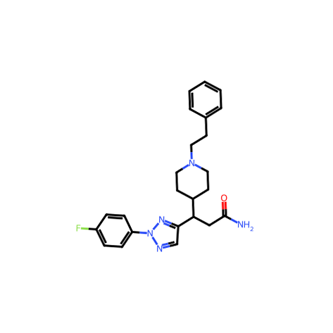 NC(=O)CC(c1cnn(-c2ccc(F)cc2)n1)C1CCN(CCc2ccccc2)CC1